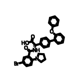 O=C(N[C@H](C(=O)O)c1ccc(-c2ccccc2Oc2ccccc2)cc1)c1cc(Br)ccc1N1CCCC1